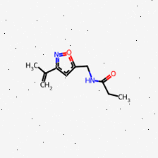 C=C(C)c1cc(CNC(=O)CC)on1